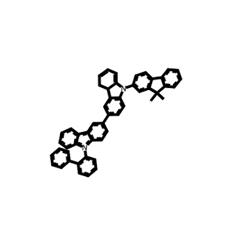 CC1(C)c2ccccc2-c2ccc(N3C4=CC=CCC4c4cc(-c5ccc6c(c5)c5ccccc5n6-c5ccccc5-c5ccccc5)ccc43)cc21